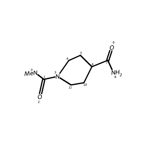 CNC(=O)N1CCC(C(N)=O)CC1